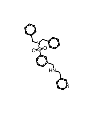 O=S(=O)(c1cccc(CNCc2cccnc2)c1)N(Cc1ccccc1)Cc1ccccc1